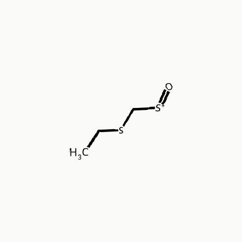 CCSC[S+]=O